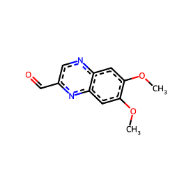 COc1cc2ncc(C=O)nc2cc1OC